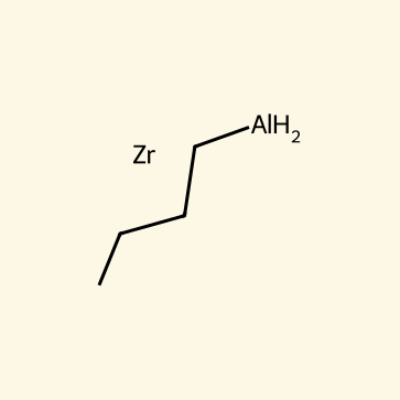 CCC[CH2][AlH2].[Zr]